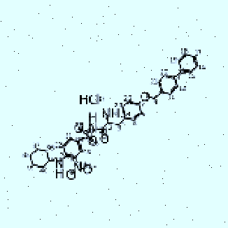 Cl.N[C@@H](Cc1ccc(OCc2ccc(-c3ccccc3)cc2)cc1)C(=O)NS(=O)(=O)c1ccc(NC2CCCCC2)c([N+](=O)[O-])c1